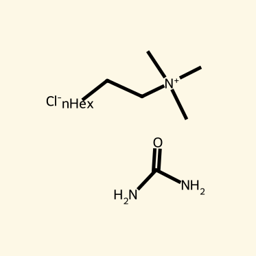 CCCCCCCC[N+](C)(C)C.NC(N)=O.[Cl-]